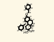 CCC[C@@]1(O)CC[C@@]2(Cc3ccccc3)c3ccc(OCc4cccnc4)cc3CC[C@@H]2C1